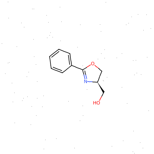 OC[C@@H]1COC(c2ccccc2)=N1